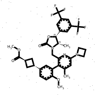 COc1ccc([C@H]2C[C@H](C(=O)OC)C2)cc1-c1c(C)cc(N2CCC2)nc1CN1C(=O)O[C@H](c2cc(C(F)(F)F)cc(C(F)(F)F)c2)[C@@H]1C